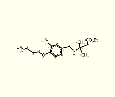 CCOC(=O)CC(C)(C)NCc1ccc(OCCCC(F)(F)F)c(C)c1